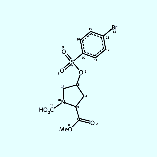 COC(=O)C1CC(OS(=O)(=O)c2ccc(Br)cc2)CN1C(=O)O